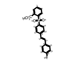 O=C(O)c1ccccc1S(=O)(=O)c1ccc(/C=C/c2ccc(F)cc2)cc1